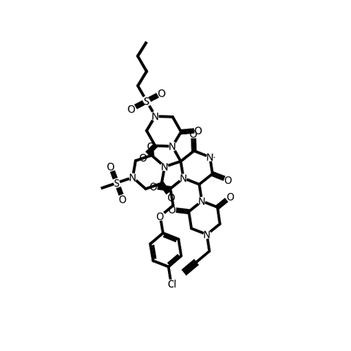 C#CCN1CC(=O)N(C2C(=O)[N]C(=O)C(N3C(=O)CN(S(C)(=O)=O)CC3=O)(N3C(=O)CN(S(=O)(=O)CCCC)CC3=O)N2C(=O)COc2ccc(Cl)cc2)C(=O)C1